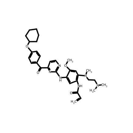 C=CC(=O)Nc1cc(Nc2nccc(C(=O)c3ccc(OC4CCCCC4)cc3)n2)c(OC)cc1N(C)CCN(C)C